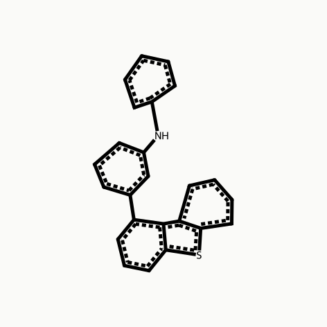 c1ccc(Nc2cccc(-c3cccc4sc5ccccc5c34)c2)cc1